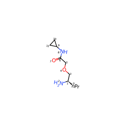 CCC[C@@H](N)COCC(=O)NC1CC1